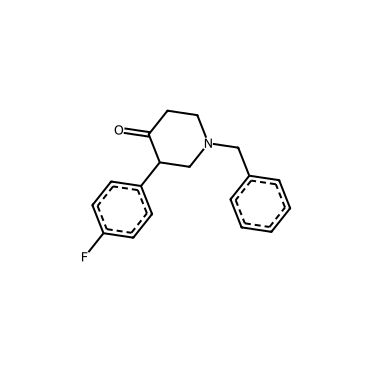 O=C1CCN(Cc2ccccc2)CC1c1ccc(F)cc1